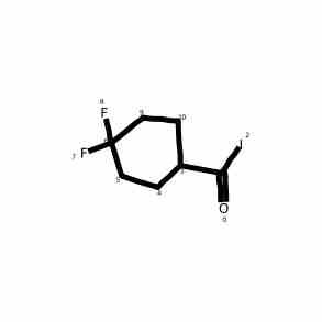 O=C(I)C1CCC(F)(F)CC1